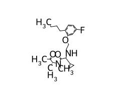 CCCCc1ccc(F)cc1OCCN[C@H](C(=O)N(C)[C@H](C)C(C)=O)C1CC1